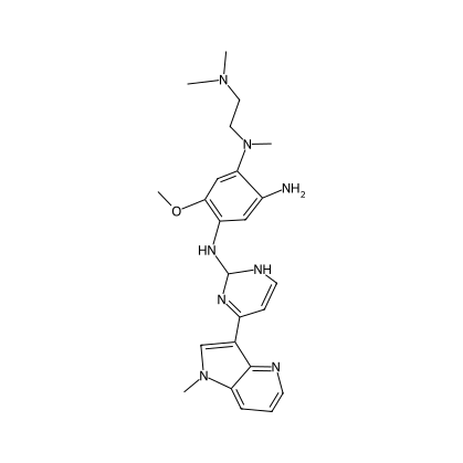 COc1cc(N(C)CCN(C)C)c(N)cc1NC1N=C(c2cn(C)c3cccnc23)C=CN1